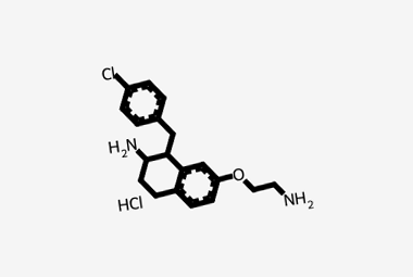 Cl.NCCOc1ccc2c(c1)C(Cc1ccc(Cl)cc1)C(N)CC2